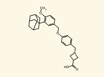 COc1ccc(COc2ccc(CN3CC(C(=O)O)C3)cc2)cc1C12CC3CC(CC(C3)C1)C2